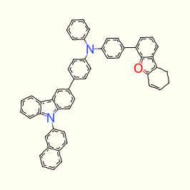 C1=Cc2oc3c(-c4ccc(N(c5ccccc5)c5ccc(-c6ccc7c(c6)c6ccccc6n7-c6ccc7ccccc7c6)cc5)cc4)cccc3c2CC1